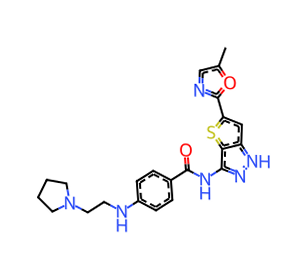 Cc1cnc(-c2cc3[nH]nc(NC(=O)c4ccc(NCCN5CCCC5)cc4)c3s2)o1